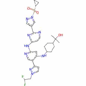 CC(C)(O)C1CCC(Nc2cc(Nc3ccnc(-c4cnn(S(=O)(=O)C5CC5)c4)n3)ncc2-c2ccn(CC(F)F)n2)CC1